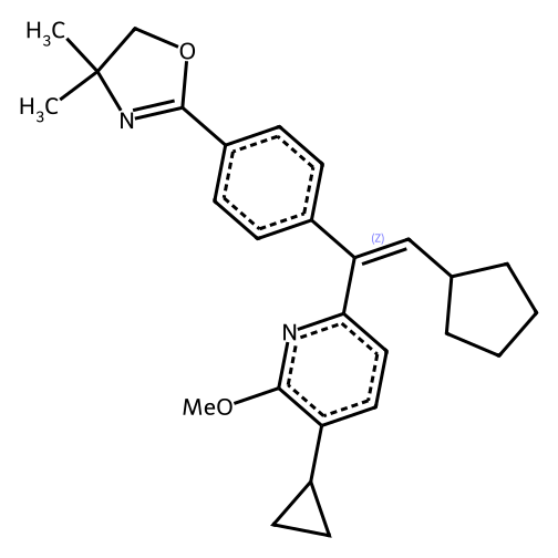 COc1nc(/C(=C\C2CCCC2)c2ccc(C3=NC(C)(C)CO3)cc2)ccc1C1CC1